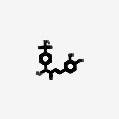 CN(C(=O)C=Cc1ccc(O)c(O)c1)c1ccc(S(N)(=O)=O)cc1